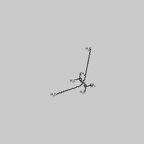 CCCCCCCCCCCCCCCCCCCCCCCCC#CC(=N\c1ccc(CCCC)c(CCCC)c1)/C(C#CCCCCCCCCCCCCCCCCCCCCCCCCCCCC)=N/c1ccc(CCCC)c(CCCC)c1.[Ni]